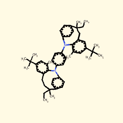 CCC1(C)CCc2cc(C(C)(C)C)cc(C)c2N(c2ccc(N3c4ccc(cc4)C(C)(CC)Cc4cc(C(C)(C)C)cc(C)c43)cc2)c2ccc1cc2